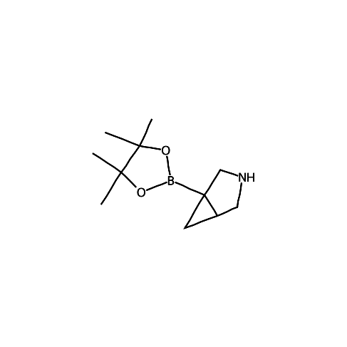 CC1(C)OB(C23CNCC2C3)OC1(C)C